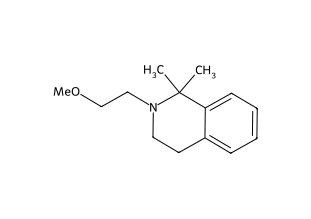 COCCN1CCc2ccccc2C1(C)C